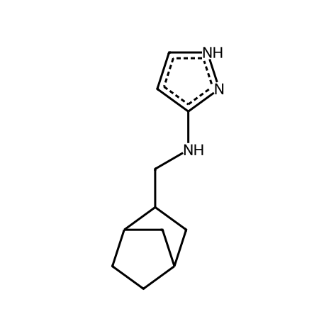 c1cc(NCC2CC3CCC2C3)n[nH]1